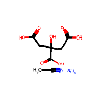 CC#N.N.O=C(O)CC(O)(CC(=O)O)C(=O)O